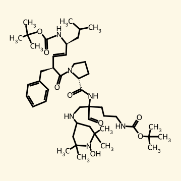 CC(C)C[C@@H](/C=C/[C@H](Cc1ccccc1)C(=O)N1CCC[C@@H]1C(=O)NC(C=O)(CCCNC(=O)OC(C)(C)C)CNC1CC(C)(C)N(O)C(C)(C)C1)NC(=O)OC(C)(C)C